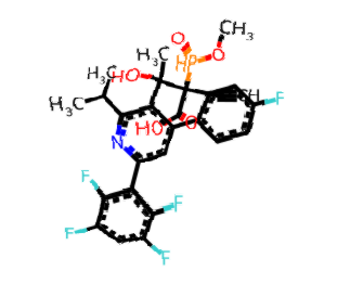 C#CC(C(=O)O)([PH](=O)OC)C(C)(O)c1c(-c2ccc(F)cc2)cc(-c2c(F)c(F)cc(F)c2F)nc1C(C)C